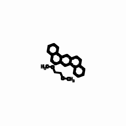 COCCOC.c1ccc2c(c1)ccc1cc3c(ccc4ccccc43)cc12